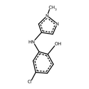 Cn1cc(Nc2cc(Cl)ccc2O)cn1